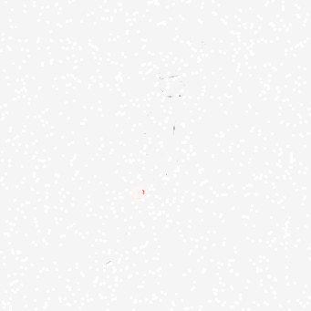 C=CCCC1CCC(OCC2CCC(C3C=CC(c4ccc(CCCC)cc4)CC3)CC2)CC1